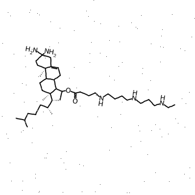 CCNCCCNCCCCNCCCC(=O)OC1C[C@H]([C@H](C)CCCC(C)C)[C@@]2(C)CCC3C(CC=C4CC(N)(N)CC[C@@]43C)C12